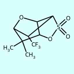 CC1(C)C2OS(=O)(=O)C3C2OC1C3C(F)(F)F